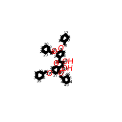 O[C@@H]1C(c2ccc(OCc3ccccc3)c(OCc3ccccc3)c2)Oc2cc(OCc3ccccc3)cc(OCc3ccccc3)c2[C@@H]1O